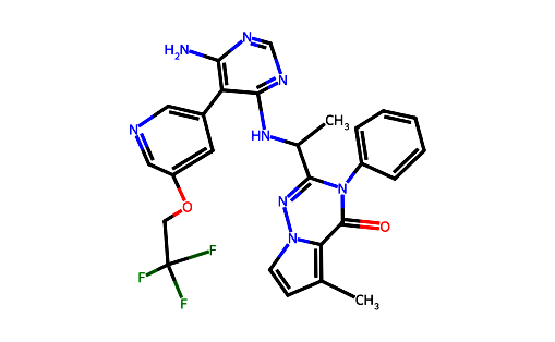 Cc1ccn2nc(C(C)Nc3ncnc(N)c3-c3cncc(OCC(F)(F)F)c3)n(-c3ccccc3)c(=O)c12